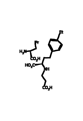 CC(C)C[C@H](N)C(=O)O.CCc1ccc(CC[C@@H](NCCC(=O)O)C(=O)O)cc1